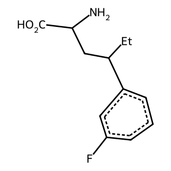 CCC(CC(N)C(=O)O)c1cccc(F)c1